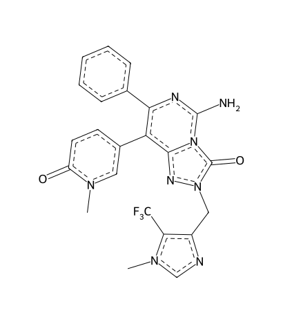 Cn1cnc(Cn2nc3c(-c4ccc(=O)n(C)c4)c(-c4ccccc4)nc(N)n3c2=O)c1C(F)(F)F